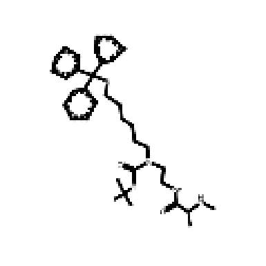 CN[C@@H](C)C(=O)NCCN(CCCCCCSC(c1ccccc1)(c1ccccc1)c1ccccc1)C(=O)OC(C)(C)C